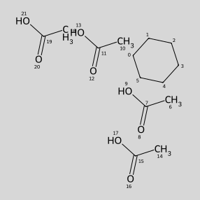 C1CCCCC1.CC(=O)O.CC(=O)O.CC(=O)O.CC(=O)O